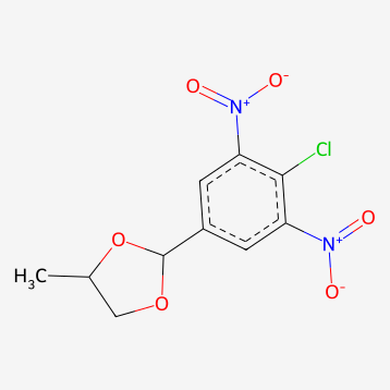 CC1COC(c2cc([N+](=O)[O-])c(Cl)c([N+](=O)[O-])c2)O1